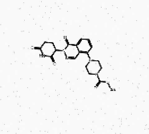 CC(C)(C)OC(=O)N1CCN(c2cccc3c(=O)n(C4CCC(=O)NC4=O)ncc23)CC1